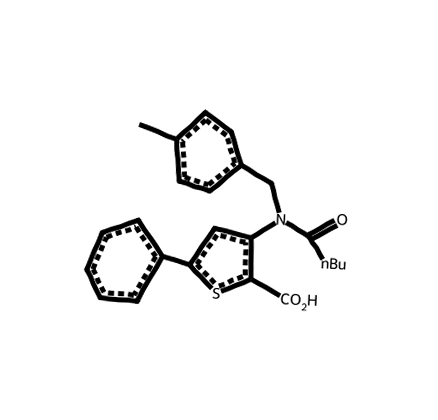 CCCCC(=O)N(Cc1ccc(C)cc1)c1cc(-c2ccccc2)sc1C(=O)O